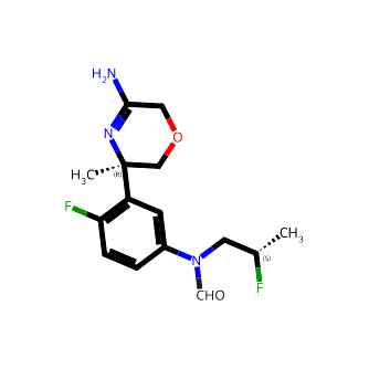 C[C@H](F)CN(C=O)c1ccc(F)c([C@]2(C)COCC(N)=N2)c1